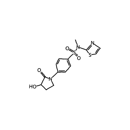 CN(c1nccs1)S(=O)(=O)c1ccc(N2CCC(O)C2=O)cc1